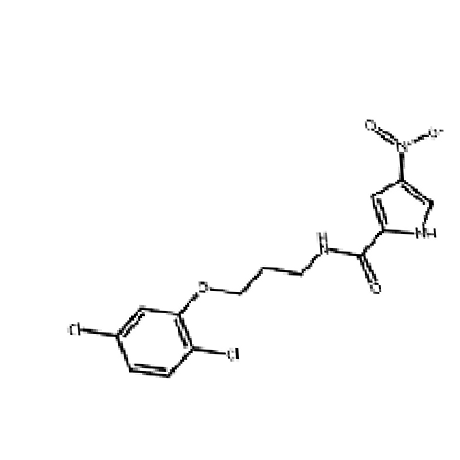 O=C(NCCCOc1cc(Cl)ccc1Cl)c1cc([N+](=O)[O-])c[nH]1